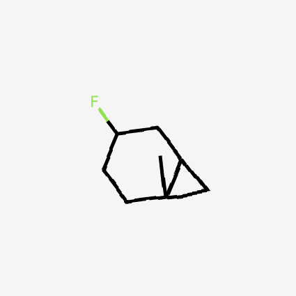 CC12CCC(F)CC1C2